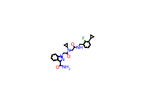 NC(=O)c1nn(CC(=O)N(CC(=O)NCc2cccc(C3CC3)c2F)C2CC2)c2ccccc12